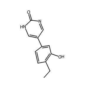 CCc1ccc(-c2cnc(=O)[nH]c2)cc1O